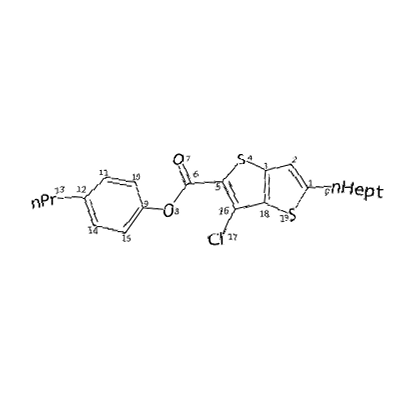 CCCCCCCc1cc2sc(C(=O)Oc3ccc(CCC)cc3)c(Cl)c2s1